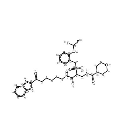 O=C(CCCCCNC(=O)C(CNC(=O)N1CCOCC1)S(=O)(=O)Cc1ccccc1OC(F)F)c1nc2ccccc2o1